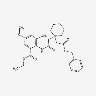 CCOC(=O)c1cc(OC)cc(C)c1NC(=O)C[N+]1(CC(=O)OCc2ccccc2)CCCCC1